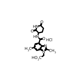 Cc1cc(C(=O)NC2CCC(=O)NC2=O)c2nc(C)n(CC(=O)O)c2c1.Cl